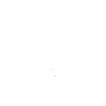 Cc1cccc(C)c1OC(=O)N(c1ccncn1)c1cccc(-c2ccccc2)c1Nc1ccc(C(N)=O)cc1